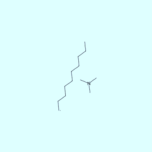 CN(C)C.[CH2]CCCCCCCCC